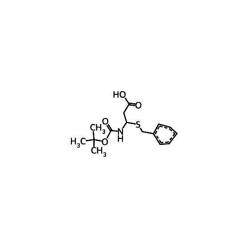 CC(C)(C)OC(=O)NC(CC(=O)O)SCc1ccccc1